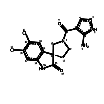 Nc1[nH]ncc1C(=O)N1CC[C@]2(C1)C(=O)Nc1cc(Cl)c(Cl)cc12